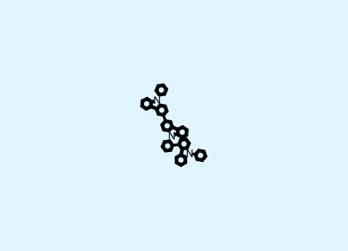 c1ccc(-n2c3ccccc3c3cc(-c4ccc5c(c4)c4ccccc4n5-c4ccccc4-c4cccc5c4c4ccccc4n5-c4ccccc4)ccc32)cc1